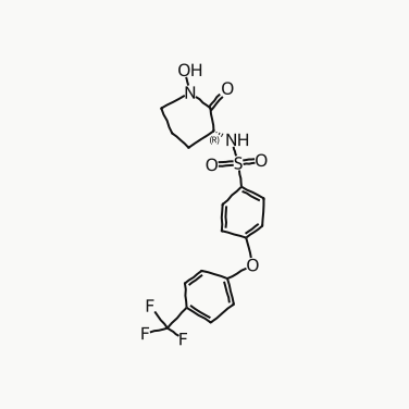 O=C1[C@H](NS(=O)(=O)c2ccc(Oc3ccc(C(F)(F)F)cc3)cc2)CCCN1O